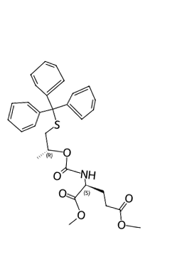 COC(=O)CC[C@H](NC(=O)O[C@H](C)CSC(c1ccccc1)(c1ccccc1)c1ccccc1)C(=O)OC